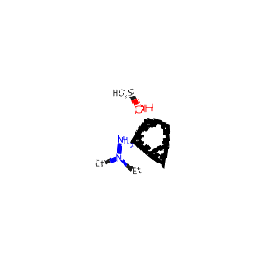 CCN(N)CC.O=S(=O)(O)O.c1cc2cc-2c1